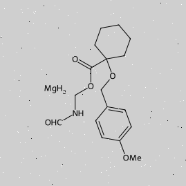 COc1ccc(COC2(C(=O)OCNC=O)CCCCC2)cc1.[MgH2]